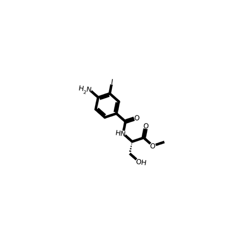 COC(=O)[C@H](CO)NC(=O)c1ccc(N)c(I)c1